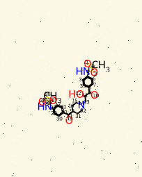 CS(=O)(=O)Nc1ccc(C(=O)C(O)CN2CCC(C(=O)c3ccc(NS(C)(=O)=O)cc3)CC2)cc1